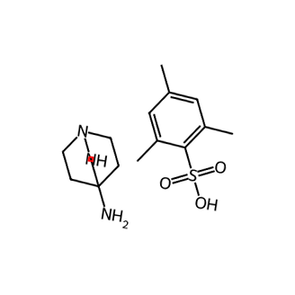 Cc1cc(C)c(S(=O)(=O)O)c(C)c1.NC12CCN(CC1)NC2